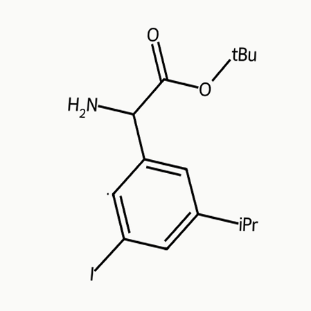 CC(C)c1cc(I)[c]c(C(N)C(=O)OC(C)(C)C)c1